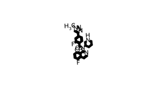 Cc1ccc(F)c2ccnc(N(C(=O)c3ccc(-c4cn(C)nn4)cc3F)[C@@H]3CCCNC3)c12